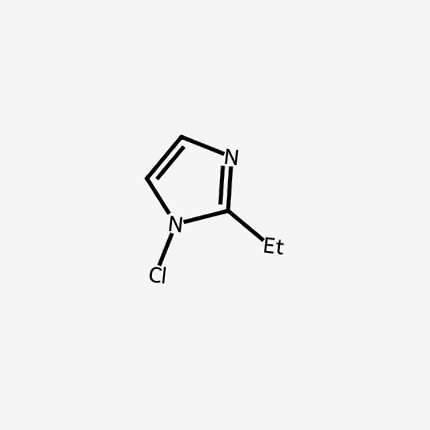 CCc1nccn1Cl